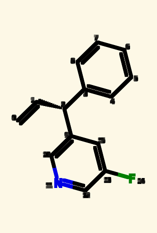 C=C[C@H](c1ccccc1)c1cncc(F)c1